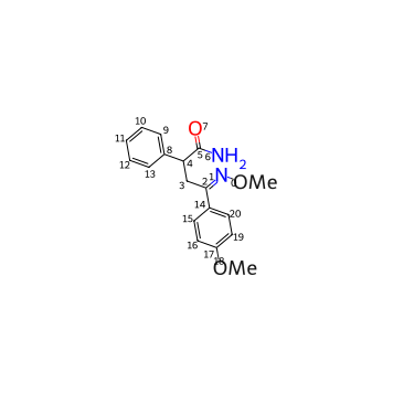 CON=C(CC(C(N)=O)c1ccccc1)c1ccc(OC)cc1